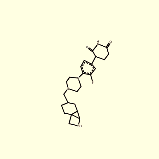 O=C1CCC(c2ccc(N3CCN(CC4CCC56CNC5C6C4)CC3)c(F)c2)C(=O)N1